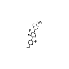 C=Cc1ccc(-c2ccc(C3CCC(CCC)OC3)c(F)c2F)c(F)c1